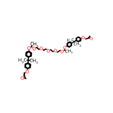 CC(OCCOCCOCCOCCOC(C)Oc1ccc(C(C)(C)c2ccc(OCC3CO3)cc2)cc1)Oc1ccc(C(C)(C)c2ccc(OCC3CO3)cc2)cc1